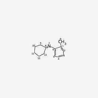 Cc1ccccc1N=C1CCCCC1